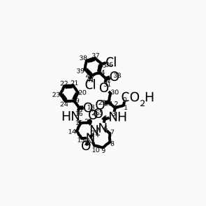 O=C(O)CC(NC(=O)N1CCCC[N+]2([O-])CCC(NC(=O)c3ccccc3)C(=O)N12)C(=O)COC(=O)c1c(Cl)cccc1Cl